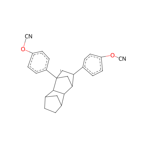 N#COc1ccc(C2[C]C3(c4ccc(OC#N)cc4)CC2C2C4CCC(C4)C23)cc1